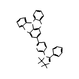 CC1(C)N=C(c2ccccc2)N(c2ccc(-c3cc4c5c(c3)Oc3ccccc3B5c3ccccc3O4)nc2)C1(C)C